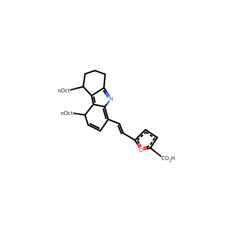 CCCCCCCCC1C=CC(C=Cc2ccc(C(=O)O)o2)=C2N=C3CCCC(CCCCCCCC)C3=C21